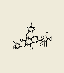 Cc1nc(Cn2c(=O)n(Cc3cnn(C)c3)c(=O)c3cc(S(=O)(=O)NC4(CF)CC4)ccc32)cs1